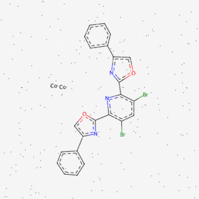 Brc1cc(Br)c(-c2nc(-c3ccccc3)co2)nc1-c1nc(-c2ccccc2)co1.[Co].[Co]